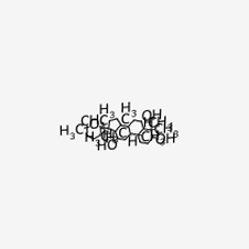 CC1(C)CCC[C@](C)([C@@]2(C)CC[C@]3(C)[C@@H]2[C@H](O)C[C@@H]2[C@@]4(C)CC[C@H](O)C(C)(C)[C@@H]4[C@@H](O)C[C@]23C)O1